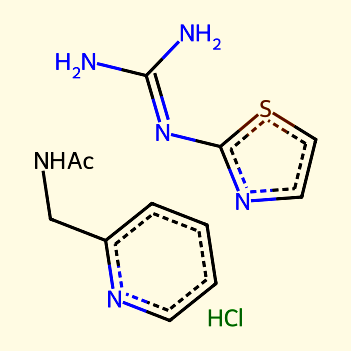 CC(=O)NCc1ccccn1.Cl.NC(N)=Nc1nccs1